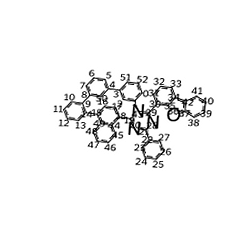 c1ccc(-c2cccc(-c3ccccc3-c3ccc(-c4nc(-c5ccccc5)nc(-c5cccc6c5oc5ccccc56)n4)c4ccccc34)c2)cc1